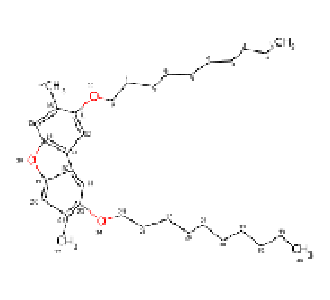 CCCCCCCCCCOc1cc2c(cc1C)oc1cc(C)c(OCCCCCCCCCC)cc12